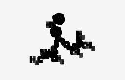 CC(N)COC(C)COCCN(CCOCC(C)OCC(C)N)c1ccc(Nc2ccccc2)cc1